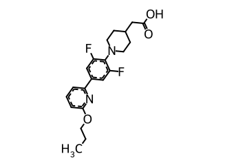 CCCOc1cccc(-c2cc(F)c(N3CCC(CC(=O)O)CC3)c(F)c2)n1